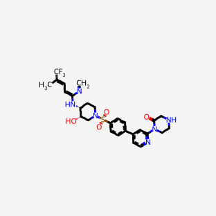 C=N/C(=C\C=C(/C)C(F)(F)F)N[C@@H]1CCN(S(=O)(=O)c2ccc(-c3ccnc(N4CCNCC4=O)c3)cc2)C[C@@H]1O